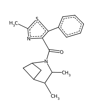 Cc1nc(C(=O)N2C3CC(C3)C(C)C2C)c(-c2ccccc2)s1